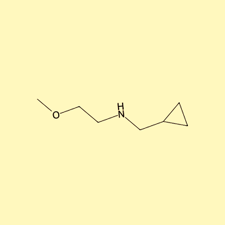 COCCNCC1CC1